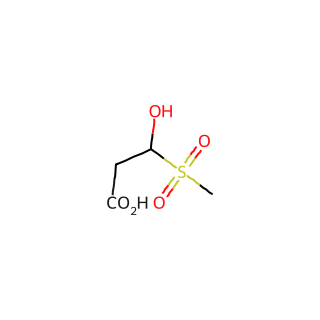 CS(=O)(=O)C(O)CC(=O)O